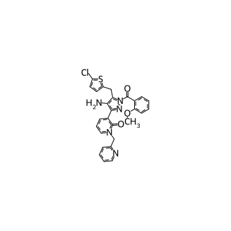 COc1ccccc1C(=O)n1nc(-c2cccn(Cc3ccccn3)c2=O)c(N)c1Cc1ccc(Cl)s1